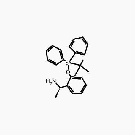 C[C@@H](N)c1ccccc1O[Si](c1ccccc1)(c1ccccc1)C(C)(C)C